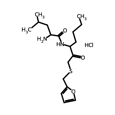 CCCCC(NC(=O)C(N)CC(C)C)C(=O)CSCc1ccco1.Cl